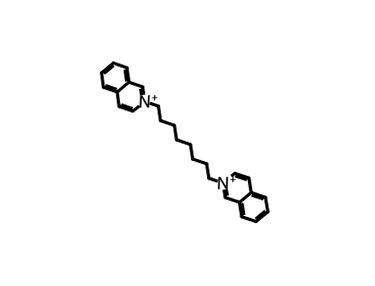 c1ccc2c[n+](CCCCCCCC[n+]3ccc4ccccc4c3)ccc2c1